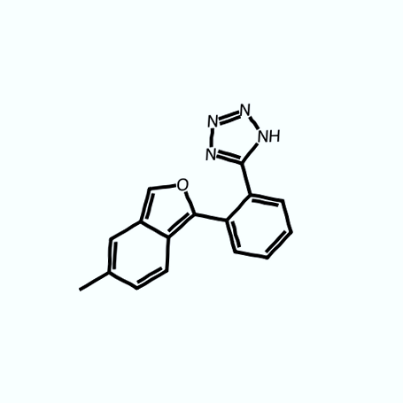 Cc1ccc2c(-c3ccccc3-c3nnn[nH]3)occ2c1